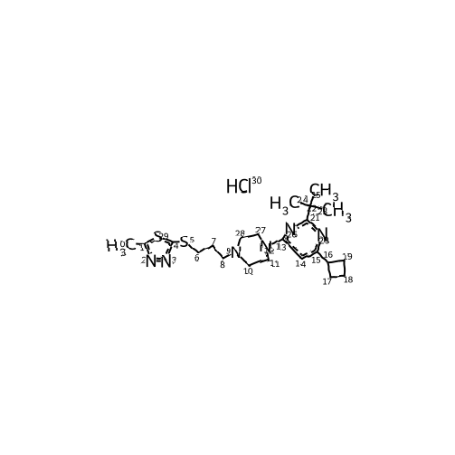 Cc1nnc(SCCCN2CCN(c3cc(C4CCC4)nc(C(C)(C)C)n3)CC2)s1.Cl